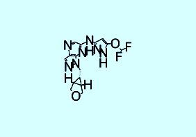 FC(F)Oc1cc(Nc2cnc3cnn(C[C@@H]4[C@@H]5COC[C@@H]54)c3n2)n[nH]1